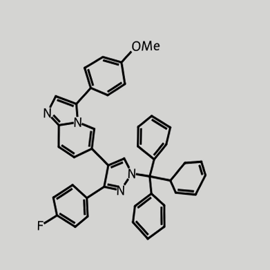 COc1ccc(-c2cnc3ccc(-c4cn(C(c5ccccc5)(c5ccccc5)C5C=CC=CC5)nc4-c4ccc(F)cc4)cn23)cc1